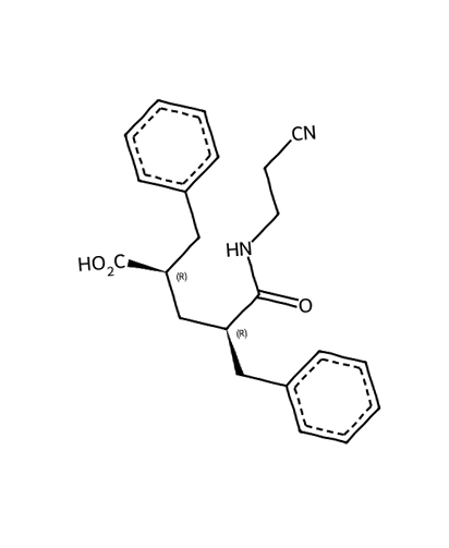 N#CCCNC(=O)[C@@H](Cc1ccccc1)C[C@H](Cc1ccccc1)C(=O)O